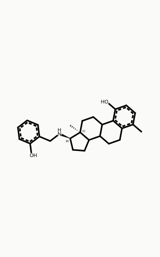 Cc1ccc(O)c2c1CCC1C2CC[C@@]2(C)C1CC[C@H]2NCc1ccccc1O